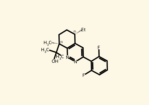 CC[C@H]1CC[C@](C)(C(C)(C)O)c2nnc(-c3c(F)cccc3F)cc21